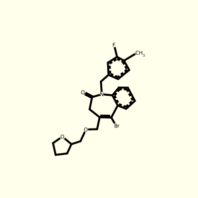 Cc1ccc(CN2C(=O)CC(COCC3CCCO3)=C(Br)c3ccccc32)cc1F